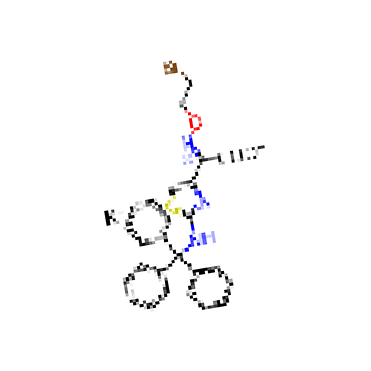 O=C([O-])/C(=N\OCCBr)c1csc(NC(c2ccccc2)(c2ccccc2)c2ccccc2)n1.[K+]